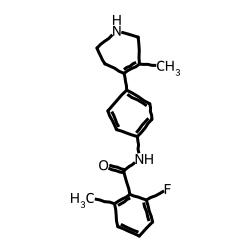 CC1=C(c2ccc(NC(=O)c3c(C)cccc3F)cc2)CCNC1